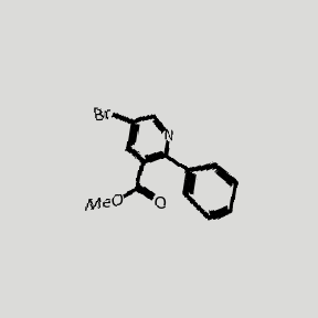 COC(=O)c1cc(Br)cnc1-c1ccccc1